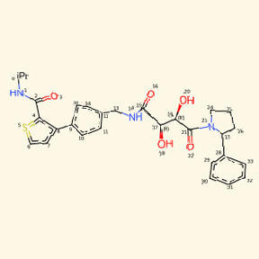 CC(C)NC(=O)c1sccc1-c1ccc(CNC(=O)[C@H](O)[C@@H](O)C(=O)N2CCCC2c2ccccc2)cc1